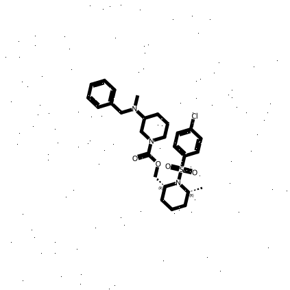 C[C@@H]1CCC[C@H](COC(=O)N2CCCC(N(C)Cc3ccccc3)C2)N1S(=O)(=O)c1ccc(Cl)cc1